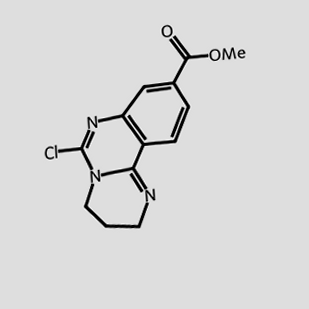 COC(=O)c1ccc2c(c1)N=C(Cl)N1CCCN=C21